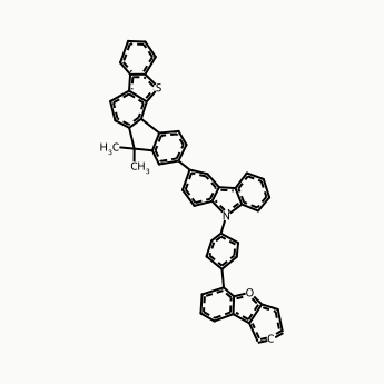 CC1(C)c2cc(-c3ccc4c(c3)c3ccccc3n4-c3ccc(-c4cccc5c4oc4ccccc45)cc3)ccc2-c2c1ccc1c2sc2ccccc21